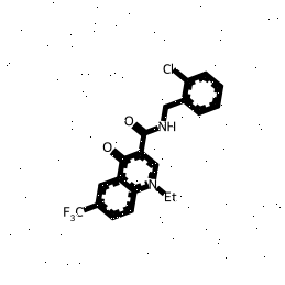 CCn1cc(C(=O)NCc2ccccc2Cl)c(=O)c2cc(C(F)(F)F)ccc21